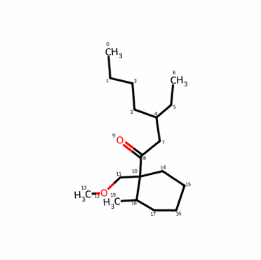 CCCCC(CC)CC(=O)C1(COC)CCCCC1C